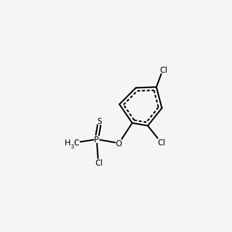 CP(=S)(Cl)Oc1ccc(Cl)cc1Cl